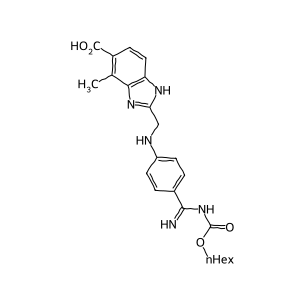 CCCCCCOC(=O)NC(=N)c1ccc(NCc2nc3c(C)c(C(=O)O)ccc3[nH]2)cc1